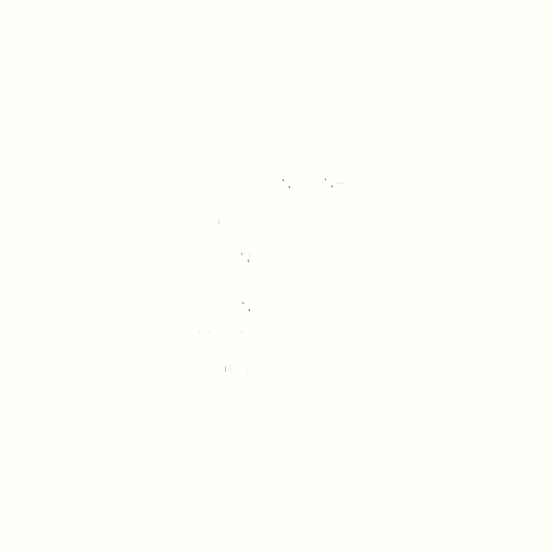 CC(C)(C)C(=O)ON1CCN(C(=O)c2ccc(N)nc2)CC1